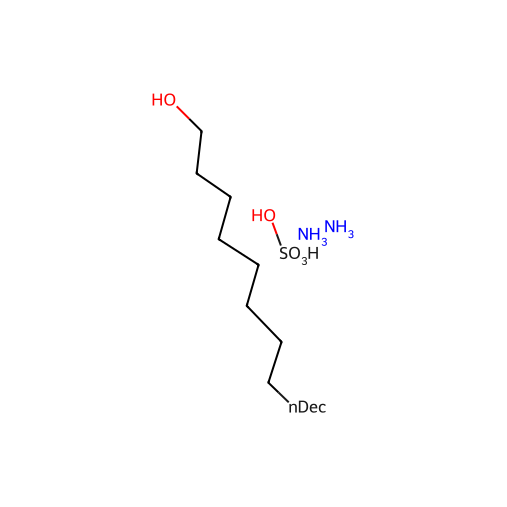 CCCCCCCCCCCCCCCCCCO.N.N.O=S(=O)(O)O